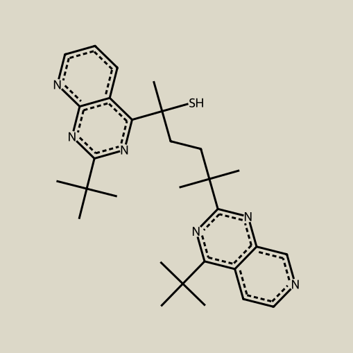 CC(C)(C)c1nc(C(C)(S)CCC(C)(C)c2nc(C(C)(C)C)c3ccncc3n2)c2cccnc2n1